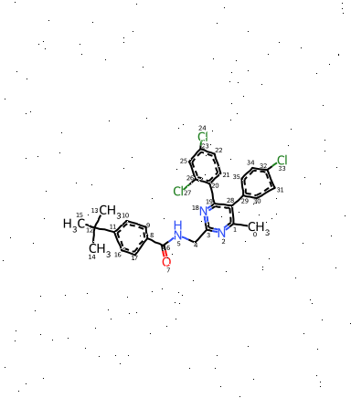 Cc1nc(CNC(=O)c2ccc(C(C)(C)C)cc2)nc(-c2ccc(Cl)cc2Cl)c1-c1ccc(Cl)cc1